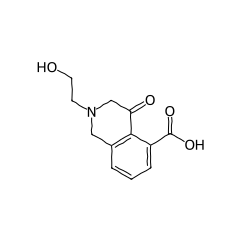 O=C(O)c1cccc2c1C(=O)CN(CCO)C2